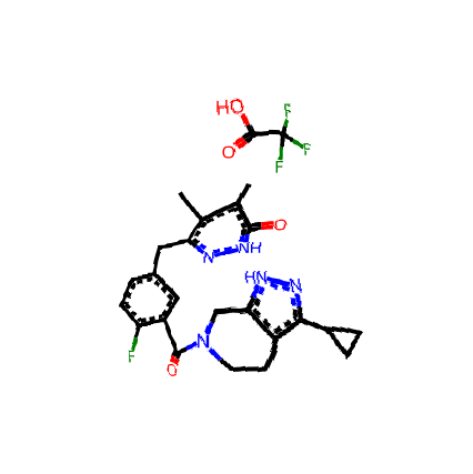 Cc1c(Cc2ccc(F)c(C(=O)N3CCc4c(C5CC5)n[nH]c4C3)c2)n[nH]c(=O)c1C.O=C(O)C(F)(F)F